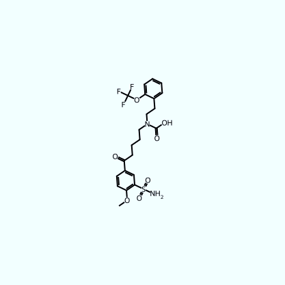 COc1ccc(C(=O)CCCCN(CCc2ccccc2OC(F)(F)F)C(=O)O)cc1S(N)(=O)=O